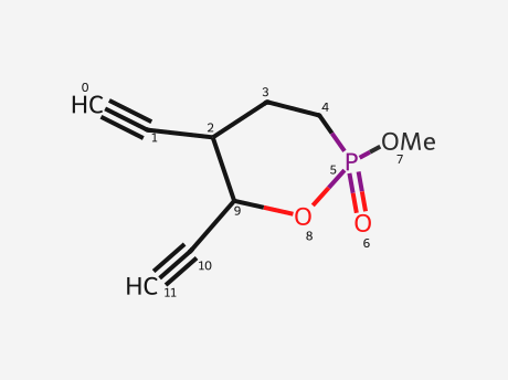 C#CC1CCP(=O)(OC)OC1C#C